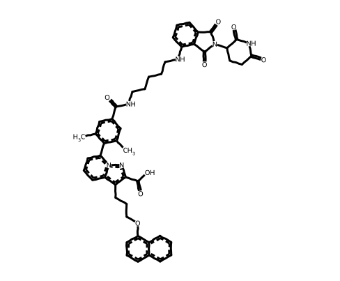 Cc1cc(C(=O)NCCCCCNc2cccc3c2C(=O)N(C2CCC(=O)NC2=O)C3=O)cc(C)c1-c1cccc2c(CCCOc3cccc4ccccc34)c(C(=O)O)nn12